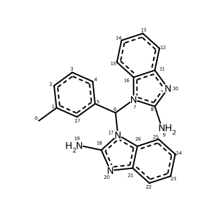 Cc1cccc(C(n2c(N)nc3ccccc32)n2c(N)nc3ccccc32)c1